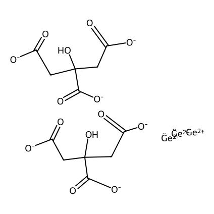 O=C([O-])CC(O)(CC(=O)[O-])C(=O)[O-].O=C([O-])CC(O)(CC(=O)[O-])C(=O)[O-].[Ge+2].[Ge+2].[Ge+2]